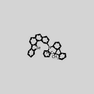 CC1(C)c2ccccc2-c2cccc(N(c3ccccc3)c3ccc4ccc5ccc6c7ccccc7[se]c6c5c4c3)c21